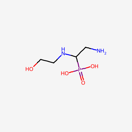 NCC(NCCO)P(=O)(O)O